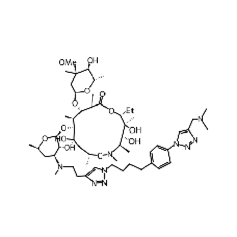 CC[C@H]1OC(=O)[C@H](C)[C@@H](O[C@H]2C[C@@](C)(OC)[C@@H](O)[C@H](C)O2)[C@H](C)[C@@H](O[C@@H]2O[C@H](C)C[C@H](N(C)CCc3cn(CCCCc4ccc(-n5cc(CN(C)C)nn5)cc4)nn3)[C@H]2O)[C@](C)(O)C[C@@H](C)CN(C)[C@H](C)[C@@H](O)[C@]1(C)O